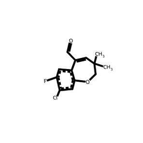 CC1(C)C=C(C=O)c2cc(F)c(Cl)cc2OC1